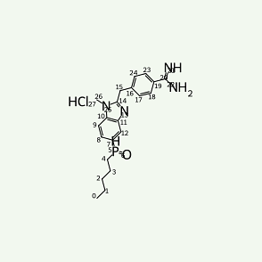 CCCCC[PH](=O)c1ccc2c(c1)nc(Cc1ccc(C(=N)N)cc1)n2C.Cl